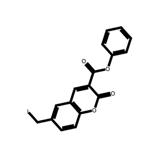 O=C(Oc1ccccc1)c1cc2cc(CI)ccc2oc1=O